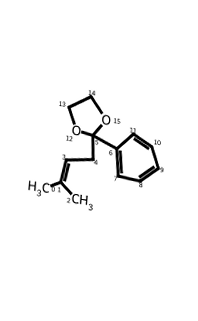 CC(C)=CCC1(c2ccccc2)OCCO1